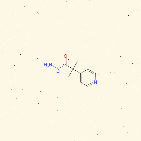 CC(C)(C(=O)NN)c1ccncc1